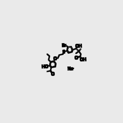 CCCc1c(OCCCSc2ccc(C(O)C(C)(C)CC(=O)O)cc2Br)ccc(C(C)=O)c1O.[Na]